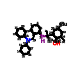 CCCCCC(C)(Pc1ccccc1CN(c1ccccc1)c1ccccc1)c1cc(C(C)(C)C)cc(C)c1O